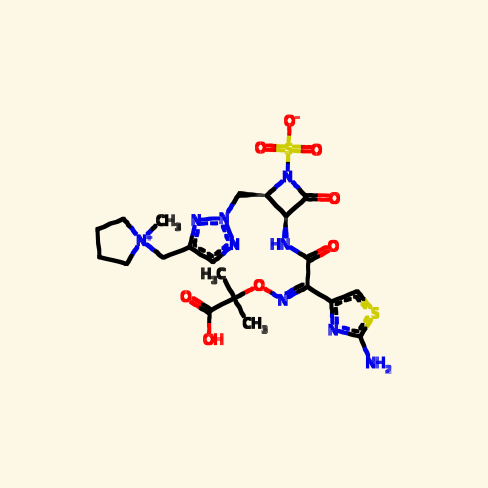 CC(C)(ON=C(C(=O)N[C@@H]1C(=O)N(S(=O)(=O)[O-])[C@@H]1Cn1ncc(C[N+]2(C)CCCC2)n1)c1csc(N)n1)C(=O)O